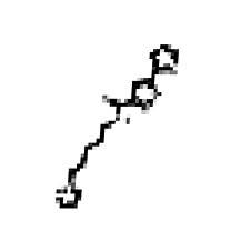 O=C(NCCCCCn1cccn1)c1cc(-c2ccco2)on1